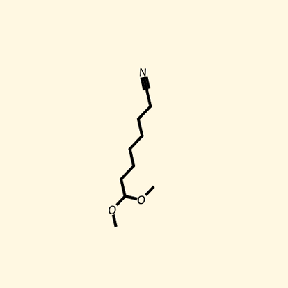 COC(CCCCCCC#N)OC